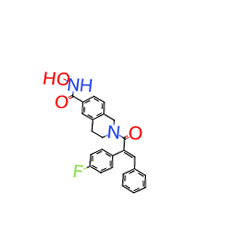 O=C(NO)c1ccc2c(c1)CCN(C(=O)C(=Cc1ccccc1)c1ccc(F)cc1)C2